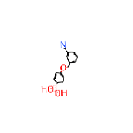 N#Cc1cccc(COc2ccc(B(O)O)cc2)c1